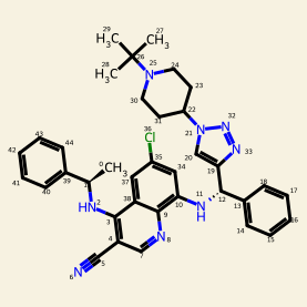 C[C@@H](Nc1c(C#N)cnc2c(N[C@@H](c3ccccc3)c3cn(C4CCN(C(C)(C)C)CC4)nn3)cc(Cl)cc12)c1ccccc1